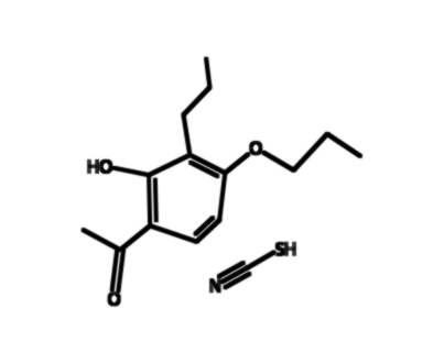 CCCOc1ccc(C(C)=O)c(O)c1CCC.N#CS